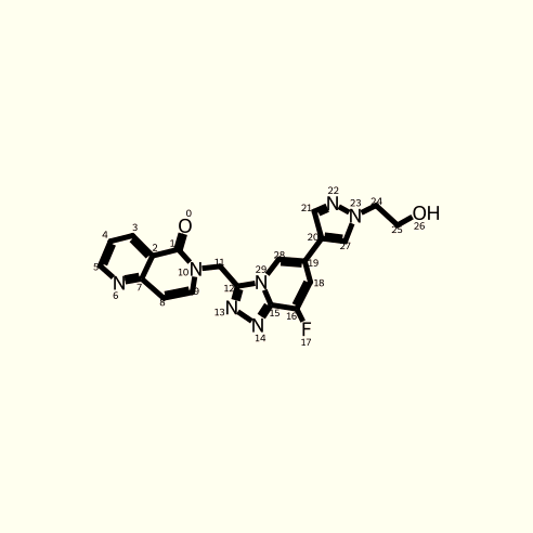 O=c1c2cccnc2ccn1Cc1nnc2c(F)cc(-c3cnn(CCO)c3)cn12